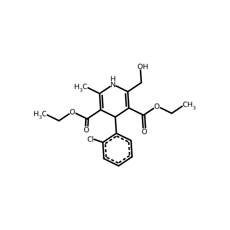 CCOC(=O)C1=C(C)NC(CO)=C(C(=O)OCC)C1c1ccccc1Cl